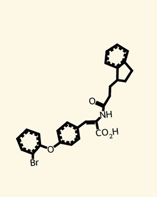 O=C(CCC1CCc2ccccc21)NC(=Cc1ccc(Oc2ccccc2Br)cc1)C(=O)O